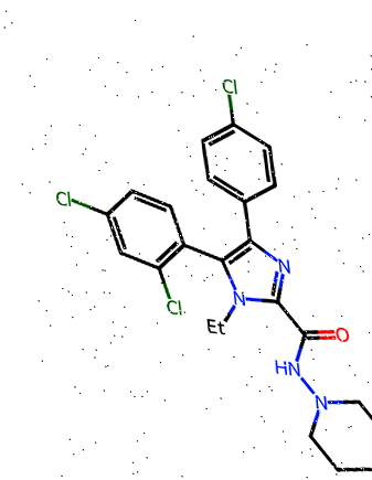 CCn1c(C(=O)NN2CCCCC2)nc(-c2ccc(Cl)cc2)c1-c1ccc(Cl)cc1Cl